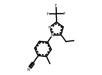 CCc1cc(C(F)(F)F)nn1-c1ccc(C#N)c(C)c1